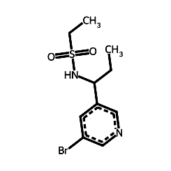 CCC(NS(=O)(=O)CC)c1cncc(Br)c1